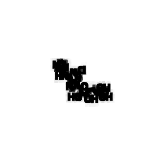 O=P(O)(O)CCC1OC(n2cnc3c(NC4CN5CCN4CC5)nc(Cl)nc32)C(O)C1O